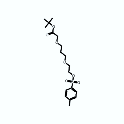 Cc1ccc(S(=O)(=O)OCCOCCCOCC(=O)OC(C)(C)C)cc1